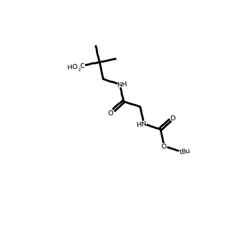 CC(C)(C)OC(=O)NCC(=O)NCC(C)(C)C(=O)O